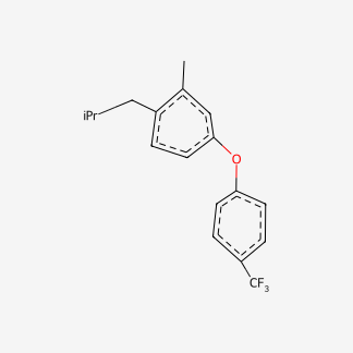 Cc1cc(Oc2ccc(C(F)(F)F)cc2)ccc1CC(C)C